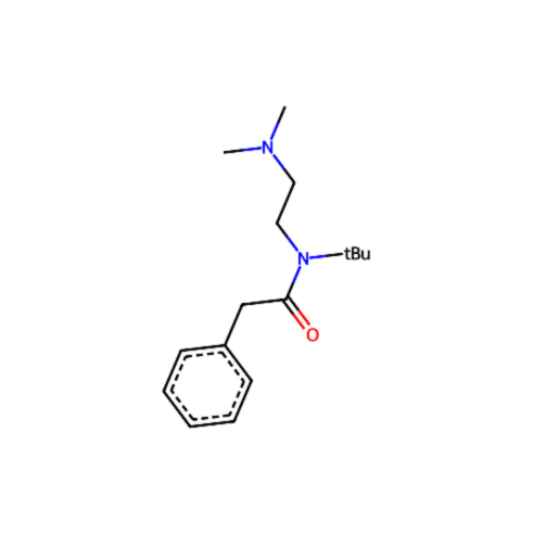 CN(C)CCN(C(=O)Cc1ccccc1)C(C)(C)C